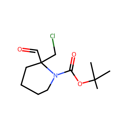 CC(C)(C)OC(=O)N1CCCCC1(C=O)CCl